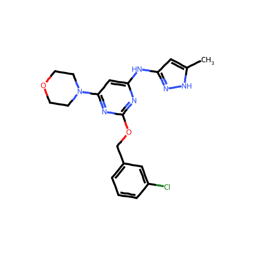 Cc1cc(Nc2cc(N3CCOCC3)nc(OCc3cccc(Cl)c3)n2)n[nH]1